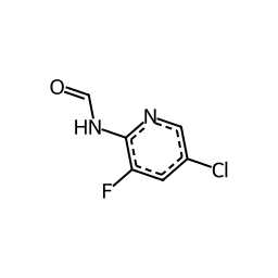 O=CNc1ncc(Cl)cc1F